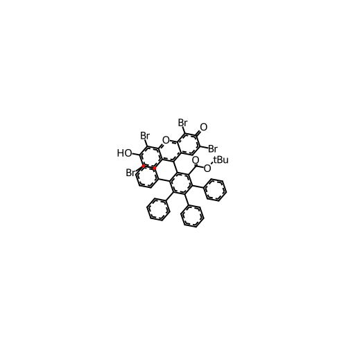 CC(C)(C)OC(=O)c1c(-c2ccccc2)c(-c2ccccc2)c(-c2ccccc2)c(-c2ccccc2)c1-c1c2cc(Br)c(=O)c(Br)c-2oc2c(Br)c(O)c(Br)cc12